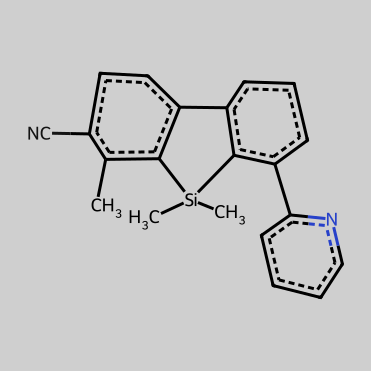 Cc1c(C#N)ccc2c1[Si](C)(C)c1c(-c3ccccn3)cccc1-2